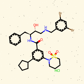 Cl.O=C(N[C@@H](Cc1ccccc1)[C@H](O)CNCc1cc(Br)cc(Br)c1)c1cc(C2CCCC2)cc(N2CCCCS2(=O)=O)c1